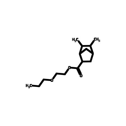 CCCOCCOC(=O)C1CC2CC1C(C)C2C